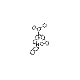 c1ccc(-c2cc(-c3ccccc3)cc(-n3c4ccccc4c4cc(-c5ccccc5-c5ccc(N(c6ccccc6)c6ccc7ccccc7c6)cc5)ccc43)c2)cc1